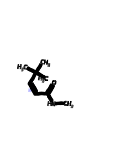 CNC(=O)/C=C\C(C)(C)C